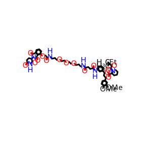 CCC(C)(C)C(=O)C(=O)N1CCCCC1C(=O)OC(CCc1ccc(OC)c(OC)c1)c1cccc(NC(=O)CCC(=O)NCCCOCCOCCOCCCNC(=O)COc2cccc3c2C(=O)N(C2CCC(=O)NC2=O)C3=O)c1